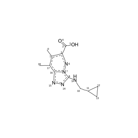 Cc1c(C(=O)O)nn2c(NCC3CC3)nnc2c1C